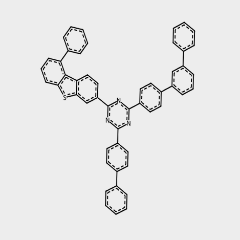 c1ccc(-c2ccc(-c3nc(-c4ccc(-c5cccc(-c6ccccc6)c5)cc4)nc(-c4ccc5c(c4)sc4cccc(-c6ccccc6)c45)n3)cc2)cc1